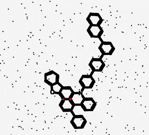 c1ccc(-c2ccccc2-c2ccccc2N(c2ccc(-c3ccc(-c4cccc(-c5ccc6ccccc6c5)c4)cc3)cc2)c2ccc3oc4ccccc4c3c2)cc1